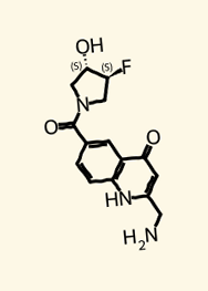 NCc1cc(=O)c2cc(C(=O)N3C[C@H](O)[C@@H](F)C3)ccc2[nH]1